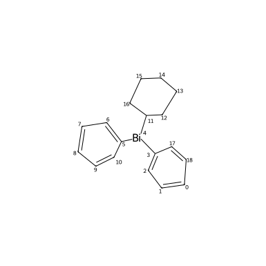 c1cc[c]([Bi]([c]2ccccc2)[CH]2CCCCC2)cc1